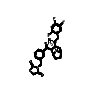 N[C@H](Cc1cc(F)c(F)cc1F)C1CC2CCC(N2)C1C(=O)c1cccc(CN2C(=O)CSC2=O)c1